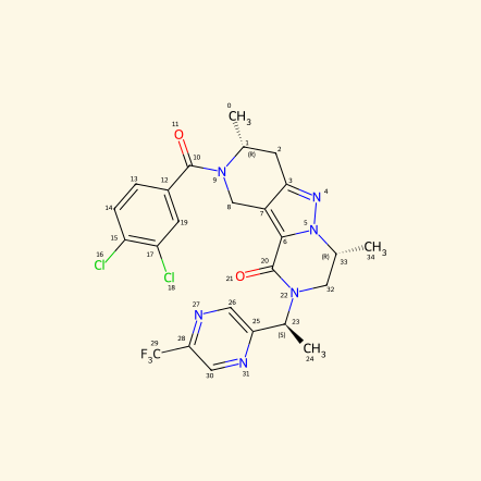 C[C@@H]1Cc2nn3c(c2CN1C(=O)c1ccc(Cl)c(Cl)c1)C(=O)N([C@@H](C)c1cnc(C(F)(F)F)cn1)C[C@H]3C